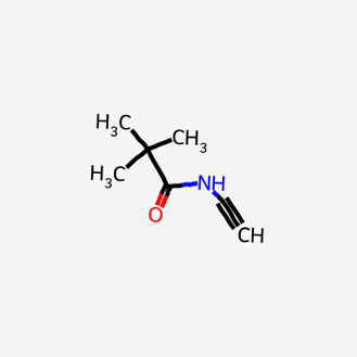 C#CNC(=O)C(C)(C)C